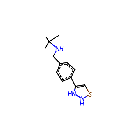 CC(C)(C)NCc1ccc(C2=CSNN2)cc1